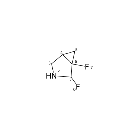 FC1NCC2CC21F